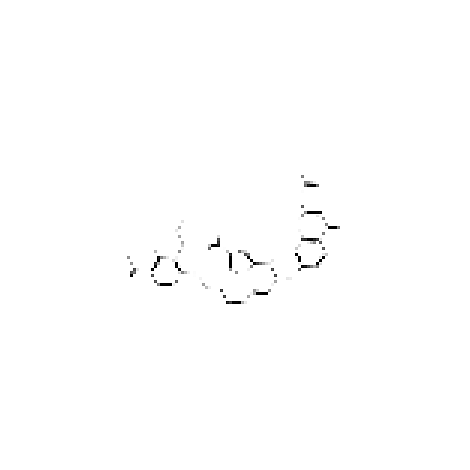 CCCc1c(OCC/C=C\C=C\[C@H](Sc2ccc3c(=O)cc(OC(=O)O)oc3c2)[C@H](O)c2cc(C(=O)O)co2)ccc(C(C)=O)c1O